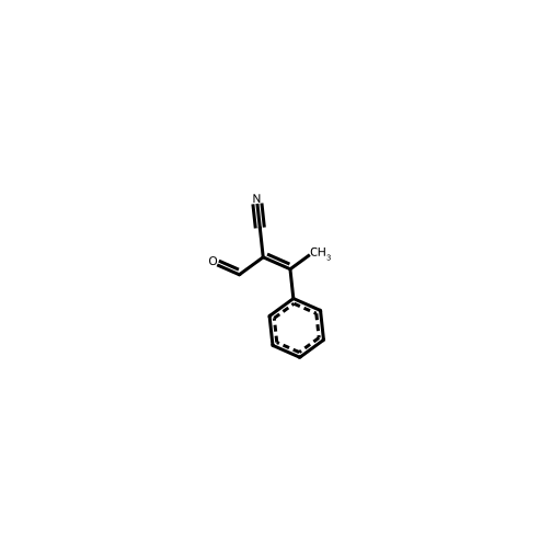 CC(=C(C#N)C=O)c1ccccc1